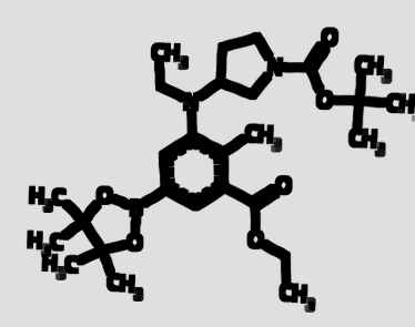 CCOC(=O)c1cc(B2OC(C)(C)C(C)(C)O2)cc(N(CC)C2CCN(C(=O)OC(C)(C)C)C2)c1C